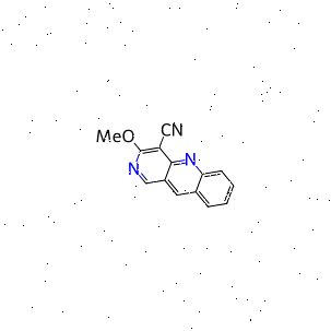 COc1ncc2cc3ccccc3nc2c1C#N